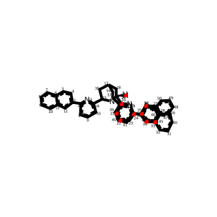 c1cc(-c2ccc3ccccc3c2)nc(C2CC3C[C@H](c4cccc(-c5ccc6ccccc6c5)n4)N2[C@@H](c2cccc(-c4ccc5ccccc5c4)n2)C3)c1